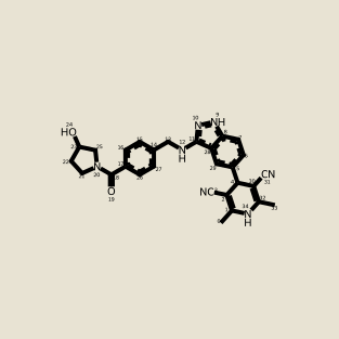 CC1=C(C#N)C(c2ccc3[nH]nc(NCc4ccc(C(=O)N5CCC(O)C5)cc4)c3c2)C(C#N)=C(C)N1